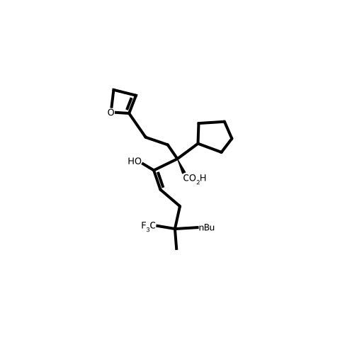 CCCCC(C)(C/C=C(/O)[C@@](CCC1=CCO1)(C(=O)O)C1CCCC1)C(F)(F)F